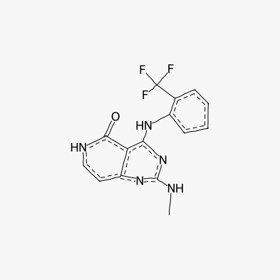 CNc1nc(Nc2ccccc2C(F)(F)F)c2c(=O)[nH]ccc2n1